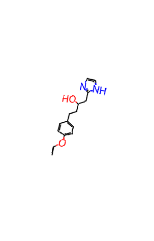 CCOc1ccc(CCC(O)Cc2ncc[nH]2)cc1